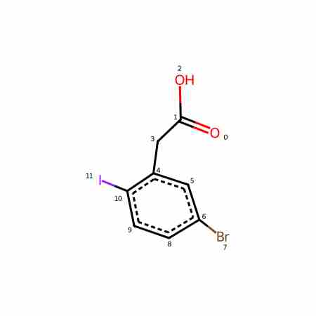 O=C(O)Cc1cc(Br)ccc1I